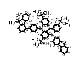 CC(C)(C)c1ccc2c(c1)B1c3ccc(C(C)(C)C)cc3N(c3ccc(-c4cccc5c4-c4ccccc4C5(C)C)cc3)c3cc(C(C)(C)C)cc(c31)N2c1ccc2c(c1)oc1ccccc12